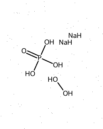 O=P(O)(O)O.OO.[NaH].[NaH]